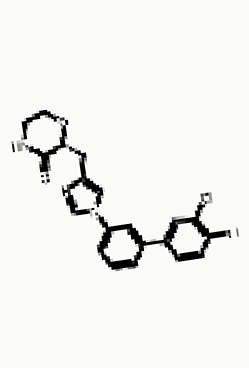 O=C1NCCO[C@H]1Cc1cn(-c2cccc(-c3ccc(Cl)c(Cl)c3)c2)cn1